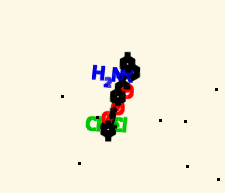 Cc1cc(Cl)c(OCCOc2ccc(CC(C=O)C(N)N3CCCc4cc(C)ccc43)cc2)c(Cl)c1